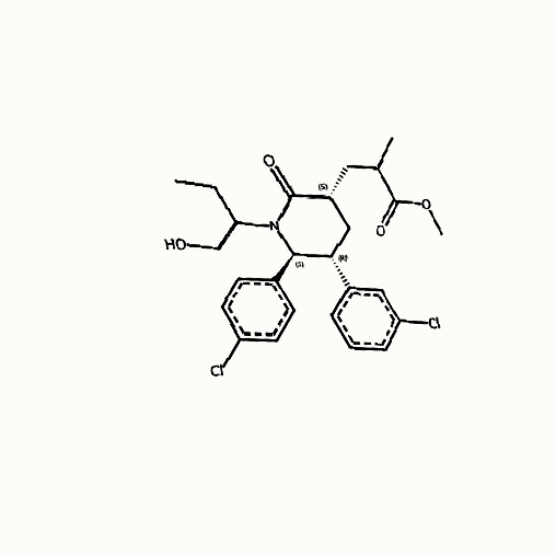 CCC(CO)N1C(=O)[C@H](CC(C)C(=O)OC)C[C@H](c2cccc(Cl)c2)[C@H]1c1ccc(Cl)cc1